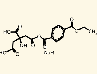 CCOC(=O)c1ccc(C(=O)OC(=O)CC(O)(CC(=O)O)C(=O)O)cc1.[NaH]